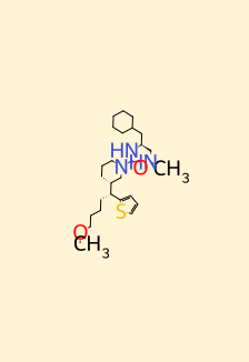 CNC[C@H](CC1CCCCC1)NC(=O)N1CCC[C@@H]([C@@H](CCCCOC)c2cccs2)C1